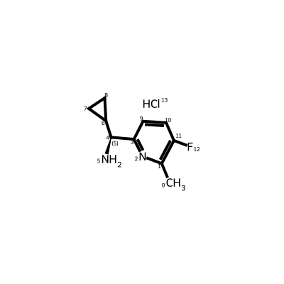 Cc1nc([C@@H](N)C2CC2)ccc1F.Cl